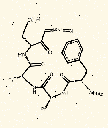 CC(=O)N[C@@H](Cc1ccccc1)C(=O)N[C@H](C(=O)N[C@@H](C)C(=O)NC(CC(=O)O)C(=O)C=[N+]=[N-])C(C)C